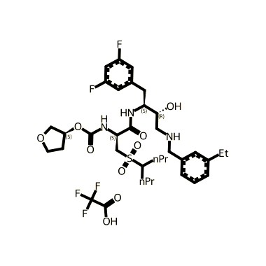 CCCC(CCC)S(=O)(=O)C[C@@H](NC(=O)O[C@H]1CCOC1)C(=O)N[C@@H](Cc1cc(F)cc(F)c1)[C@H](O)CNCc1cccc(CC)c1.O=C(O)C(F)(F)F